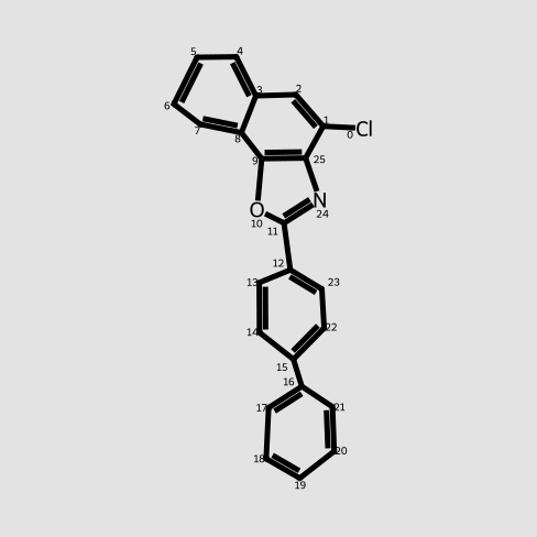 Clc1cc2ccccc2c2oc(-c3ccc(-c4ccccc4)cc3)nc12